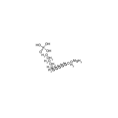 O.O.O.O.O.O.O.O.O.O.O.O.O=P(O)(O)O.[MgH2]